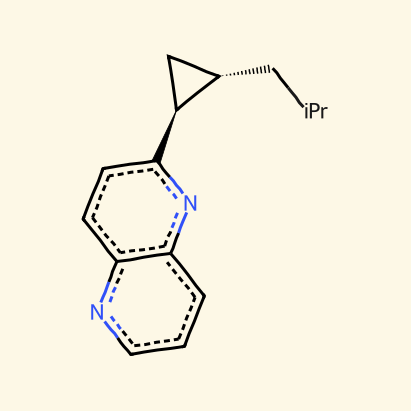 CC(C)C[C@H]1C[C@@H]1c1ccc2ncccc2n1